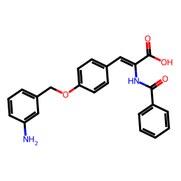 Nc1cccc(COc2ccc(/C=C(\NC(=O)c3ccccc3)C(=O)O)cc2)c1